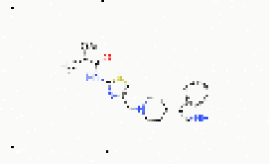 CC(=O)OC(C)C(=O)Nc1nc(CN2CCC(c3c[nH]c4ccccc34)CC2)cs1